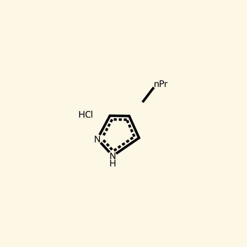 CCCC.Cl.c1cn[nH]c1